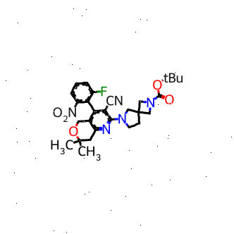 CC(C)(C)OC(=O)N1CC2(CCN(c3nc4c(c(-c5c(F)cccc5[N+](=O)[O-])c3C#N)COC(C)(C)C4)C2)C1